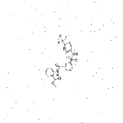 COC(=O)c1ccccc1NC(=O)c1cccc(S(=O)(=O)Nc2ccc(C(F)(F)F)nc2C)c1